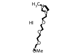 COCCOCCOCCOCCN1C=CN(C)C1.I